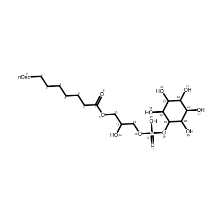 CCCCCCCCCCCCCCCCC(=O)OCC(O)COP(=O)(O)OC1C(O)C(O)C(O)C(O)C1O